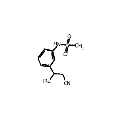 CCC(C)C(CC#N)c1cccc(NS(C)(=O)=O)c1